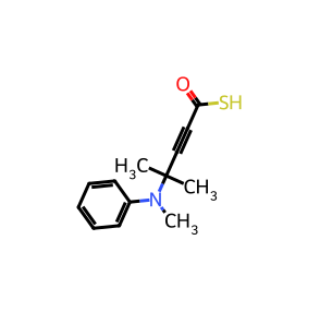 CN(c1ccccc1)C(C)(C)C#CC(=O)S